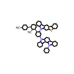 N#Cc1ccc(-c2cccc(-c3ccc(-n4c5ccccc5c5c4ccc4c6ccccc6n(-c6ccccc6)c45)cc3-n3c4ccccc4c4cc5c(cc43)sc3ccccc35)c2C#N)cc1